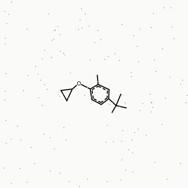 Cc1cc(C(C)(C)C)ccc1OC1CC1